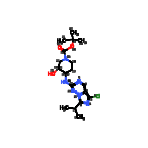 CC(C)c1nc(Cl)c2cnc(N[C@@H]3CCN(C(=O)OC(C)(C)C)C[C@H]3O)nn12